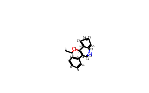 CCOc1c(-c2ccccc2)[c]nc2ccccc12